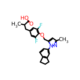 Cc1cc(COc2c(F)cc(CC(C)C(=O)O)cc2F)n(-c2ccc3c(c2)CCC3)n1